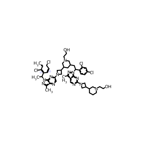 C=C/C(Cl)=C(\C=C/CCl)C(C)n1nc(C)c2ncc(N3CC(C4CC(CC(c5ccc(Cl)cc5Cl)n5nc(C)c6cnc(N7CC(C8CCCN(CCO)C8)C7)nc65)CN(CCO)C4)C3)nc21